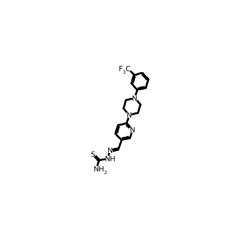 NC(=S)N/N=C/c1ccc(N2CCN(c3cccc(C(F)(F)F)c3)CC2)nc1